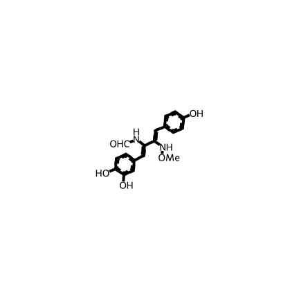 CONC(=C\c1ccc(O)cc1)/C(=C/c1ccc(O)c(O)c1)NC=O